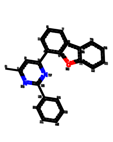 Cc1cc(-c2cccc3c2oc2ccccc23)nc(-c2ccccc2)n1